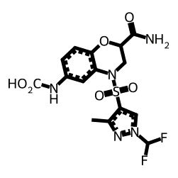 Cc1nn(C(F)F)cc1S(=O)(=O)N1CC(C(N)=O)Oc2ccc(NC(=O)O)cc21